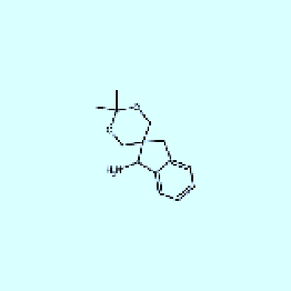 CC1(C)OCC2(CO1)Cc1ccccc1C2N